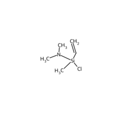 C=C[Si](C)(Cl)N(C)C